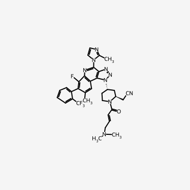 Cc1cc2c(nc(-n3ccnc3C)c3nnn([C@H]4CCN(C(=O)/C=C/CN(C)C)[C@H](CC#N)C4)c32)c(F)c1-c1ccccc1C(F)(F)F